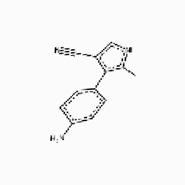 Cc1[nH]cc(C#N)c1-c1ccc(N)cc1